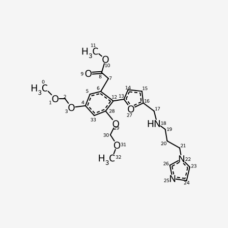 COCOc1cc(CC(=O)OC)c(-c2ccc(CNCCCn3ccnc3)o2)c(OCOC)c1